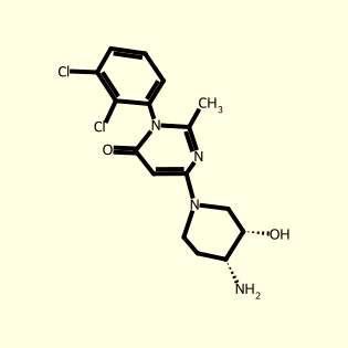 Cc1nc(N2CC[C@@H](N)[C@@H](O)C2)cc(=O)n1-c1cccc(Cl)c1Cl